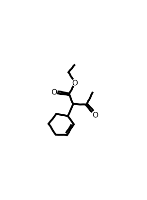 CCOC(=O)C(C(C)=O)C1C=CCCC1